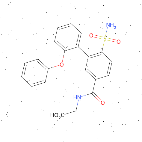 NS(=O)(=O)c1ccc(C(=O)NCC(=O)O)cc1-c1ccccc1Oc1ccccc1